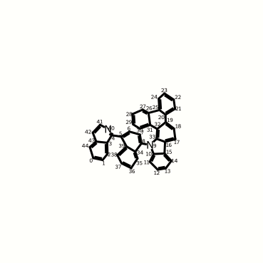 c1ccc2c(-c3ccc(-n4c5ccccc5c5ccc6c7ccccc7c7ccccc7c6c54)c4ccccc34)nccc2c1